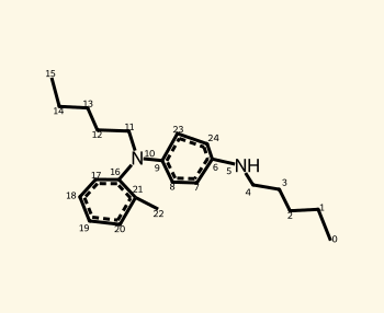 CCCCCNc1ccc(N(CCCCC)c2ccccc2C)cc1